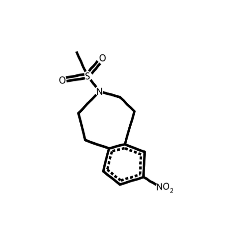 CS(=O)(=O)N1CCc2ccc([N+](=O)[O-])cc2CC1